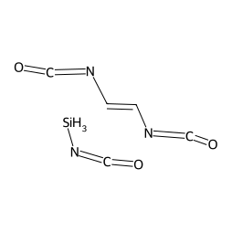 O=C=NC=CN=C=O.O=C=N[SiH3]